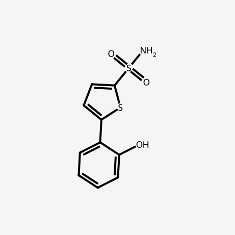 NS(=O)(=O)c1ccc(-c2ccccc2O)s1